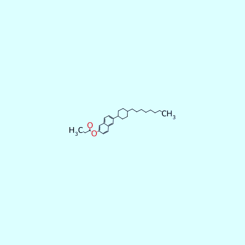 CCCCCCCCC1CCC(c2ccc3cc(OC(=O)CC)ccc3c2)CC1